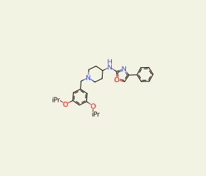 CC(C)Oc1cc(CN2CCC(Nc3nc(-c4ccccc4)co3)CC2)cc(OC(C)C)c1